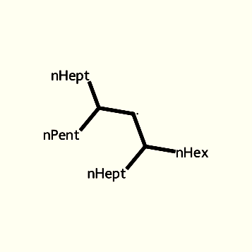 CCCCCCCC([CH]C(CCCCCC)CCCCCCC)CCCCC